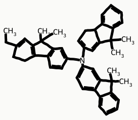 CCC1=CC2=C(CC1)c1ccc(N(C3=CCC4C(=C3)C(C)(C)c3ccccc34)c3ccc4c(c3)C(C)(C)c3ccccc3-4)cc1C2(C)C